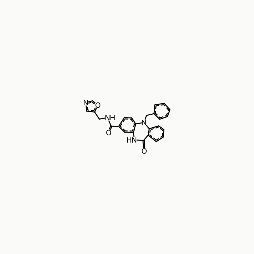 O=C(NCc1cnco1)c1ccc2c(c1)NC(=O)c1ccccc1N2Cc1ccccc1